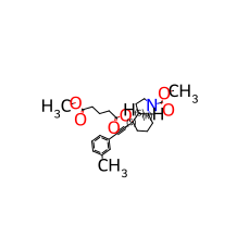 COC(=O)CCCC(=O)O[C@@]1(C#Cc2cccc(C)c2)CCC[C@@H]2[C@@H]1CCN2C(=O)OC